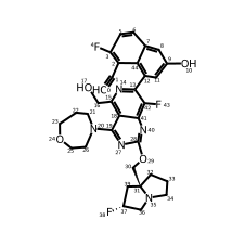 C#Cc1c(F)ccc2cc(O)cc(-c3nc(CO)c4c(N5CCCOCC5)nc(OC[C@@]56CCCN5C[C@H](F)C6)nc4c3F)c12